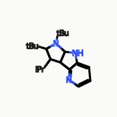 CC(C)C1C2c3ncccc3NC2N(C(C)(C)C)C1C(C)(C)C